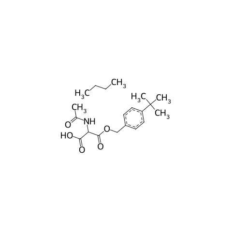 CC(=O)NC(C(=O)O)C(=O)OCc1ccc(C(C)(C)C)cc1.CCCC